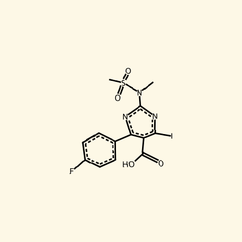 CN(c1nc(I)c(C(=O)O)c(-c2ccc(F)cc2)n1)S(C)(=O)=O